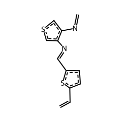 C=Cc1ccc(C=Nc2cscc2N=C)s1